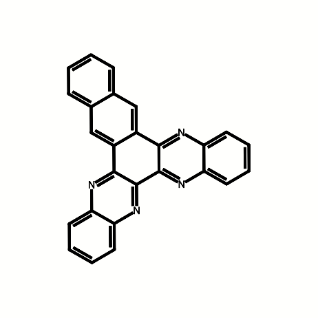 c1ccc2cc3c(cc2c1)c1nc2ccccc2nc1c1nc2ccccc2nc31